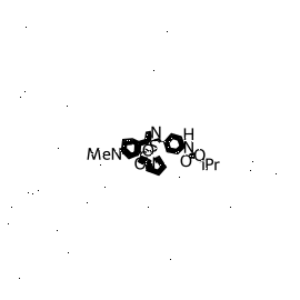 CNc1ccc(-c2cnc([C@H]3CC[C@H](NC(=O)OC(C)C)CC3)s2)c(S(=O)(=O)N2CCCC2)c1